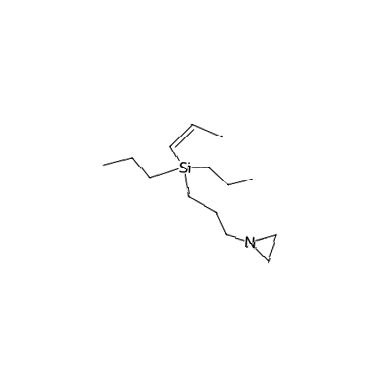 C/C=C\[Si](CCC)(CCC)CCCN1CC1